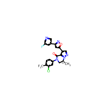 C[C@H]1CN(c2ccc(C(F)(F)F)c(Cl)c2)C(=O)c2c(-c3cc(-c4cncc(F)c4)no3)cnn21